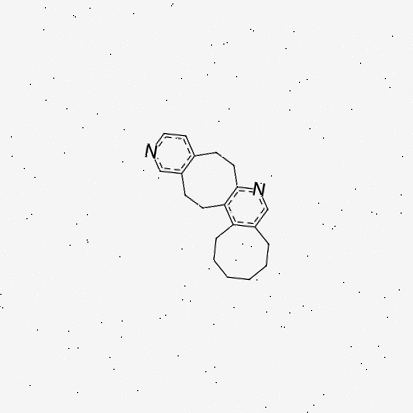 c1cc2c(cn1)CCc1c(ncc3c1CCCCCC3)CC2